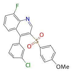 COc1ccc(S(=O)(=O)c2cnc3c(F)cccc3c2-c2cccc(Cl)c2)cc1